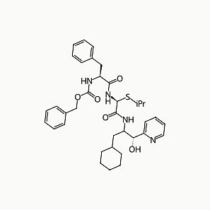 CC(C)S[C@H](NC(=O)[C@H](Cc1ccccc1)NC(=O)OCc1ccccc1)C(=O)NC(CC1CCCCC1)[C@@H](O)c1ccccn1